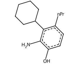 CCCc1ccc(O)c(N)c1C1CCCCC1